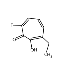 CCc1cccc(F)c(=O)c1O